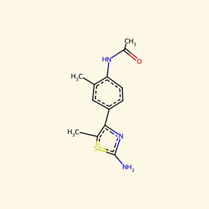 CC(=O)Nc1ccc(-c2nc(N)sc2C)cc1C